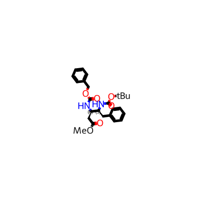 COC(=O)C[C@@H](NC(=O)OCc1ccccc1)[C@H](Cc1ccccc1)NC(=O)OC(C)(C)C